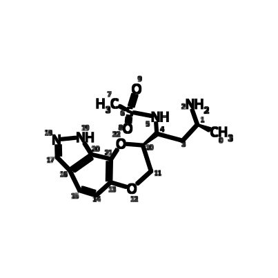 C[C@H](N)CC(NS(C)(=O)=O)[C@H]1COc2ccc3cn[nH]c3c2O1